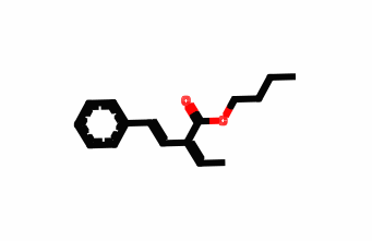 CC=C(C=Cc1ccccc1)C(=O)OCCCC